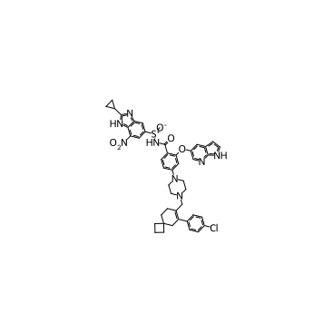 O=C(N[S+]([O-])c1cc([N+](=O)[O-])c2[nH]c(C3CC3)nc2c1)c1ccc(N2CCN(CC3=C(c4ccc(Cl)cc4)CC4(CCC4)CC3)CC2)cc1Oc1cnc2[nH]ccc2c1